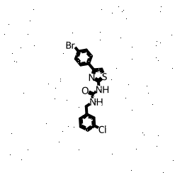 O=C(NCc1cccc(Cl)c1)Nc1nc(-c2ccc(Br)cc2)cs1